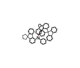 c1ccc(N(c2ccc3oc4cccc(C5(c6ccccc6)c6ccccc6-c6ccccc65)c4c3c2)c2cccc3c2-c2ccccc2C32CCCC2)cc1